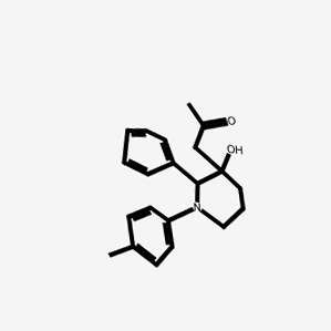 CC(=O)CC1(O)CCCN(c2ccc(C)cc2)C1c1ccccc1